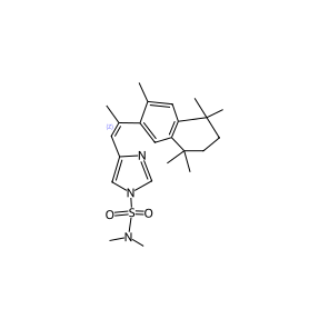 C/C(=C/c1cn(S(=O)(=O)N(C)C)cn1)c1cc2c(cc1C)C(C)(C)CCC2(C)C